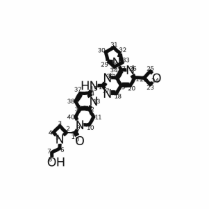 O=C([C@@H]1CCN1CCO)N1CCc2nc(Nc3ncc4cc(C5COC5)nc(N5C6CCC5CC6)c4n3)ccc2C1